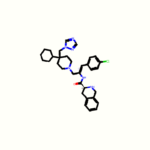 O=C(N/C(=C\c1ccc(Cl)cc1)CN1CCC(Cn2cncn2)(C2CCCCC2)CC1)[C@@H]1Cc2ccccc2CN1